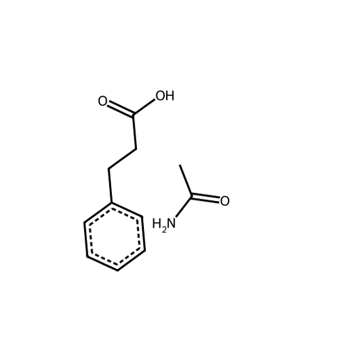 CC(N)=O.O=C(O)CCc1ccccc1